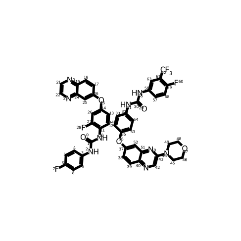 O=C(Nc1ccc(F)cc1)Nc1ccc(Oc2ccc3nccnc3c2)cc1F.O=C(Nc1ccc(Oc2ccc3ncc(N4CCOCC4)nc3c2)cc1)Nc1ccc(F)c(C(F)(F)F)c1